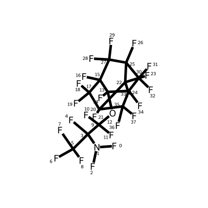 FN(F)C(F)(C(F)(F)F)C(F)(F)OC1(F)C2(F)C(F)(F)C3(F)C(F)(F)C(F)(C2(F)F)C(F)(F)C1(F)C3(F)F